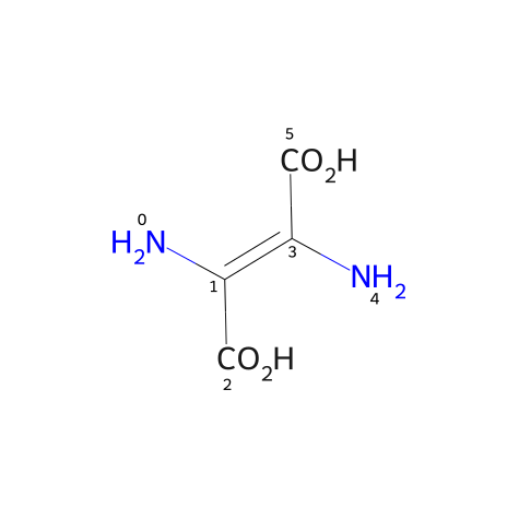 NC(C(=O)O)=C(N)C(=O)O